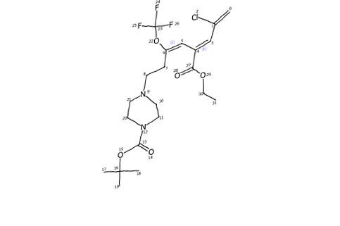 C=C(Cl)/C=C(\C=C(/CCN1CCN(C(=O)OC(C)(C)C)CC1)OC(F)(F)F)C(=O)OCC